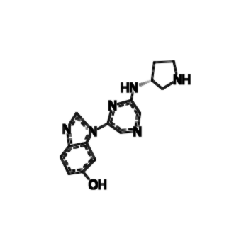 Oc1ccc2ncn(-c3cncc(N[C@@H]4CCNC4)n3)c2c1